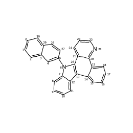 c1ccc2cc(-n3c4ccccc4c4c5ccccc5c5ncccc5c43)ccc2c1